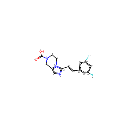 O=C(O)N1CCn2c(cnc2/C=C/c2cc(F)cc(F)c2)C1